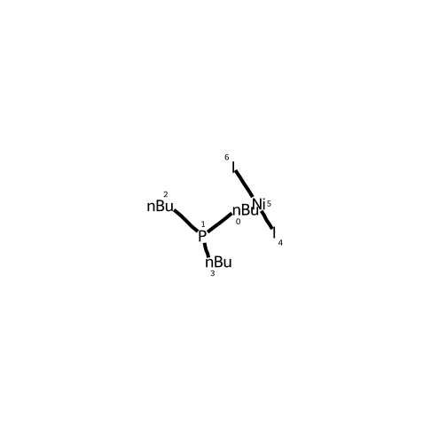 CCCCP(CCCC)CCCC.[I][Ni][I]